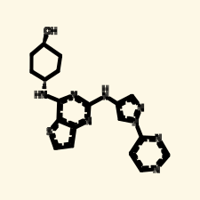 O[C@H]1CC[C@H](Nc2nc(Nc3cnn(-c4ccncn4)c3)nc3ccsc23)CC1